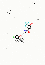 CC(C)(C)c1cc(Cl)ccc1OCCCCNC(=O)c1ccc(O)c(C(F)(F)F)c1